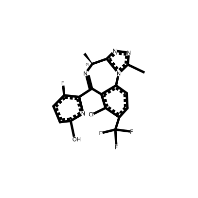 Cc1nnc2n1-c1ccc(C(F)(F)F)c(Cl)c1C(c1nc(O)ccc1F)=N[C@H]2C